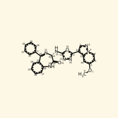 COc1ccn2ncc(-c3nnc(N[C@H]4N=C(c5ccccc5)c5ccccc5NC4=O)o3)c2c1